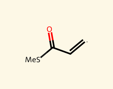 [CH]=CC(=O)SC